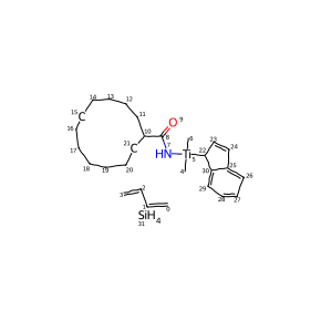 C=CC=C.[CH3][Ti]([CH3])([NH]C(=O)C1CCCCCCCCCCC1)[CH]1C=Cc2ccccc21.[SiH4]